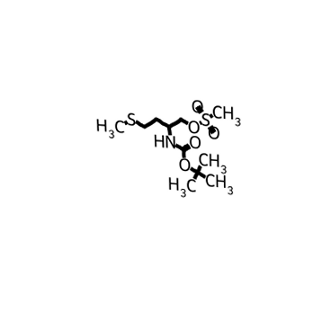 CSCCC(COS(C)(=O)=O)NC(=O)OC(C)(C)C